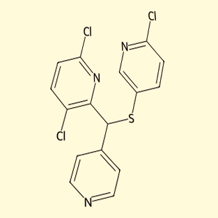 Clc1ccc(SC(c2ccncc2)c2nc(Cl)ccc2Cl)cn1